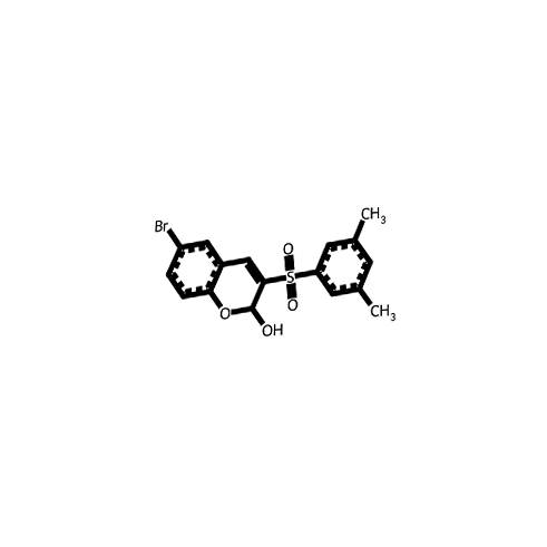 Cc1cc(C)cc(S(=O)(=O)C2=Cc3cc(Br)ccc3OC2O)c1